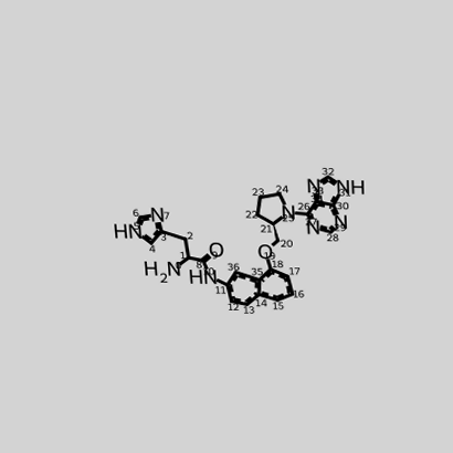 NC(Cc1c[nH]cn1)C(=O)Nc1ccc2cccc(OC[C@H]3CCCN3c3ncnc4[nH]cnc34)c2c1